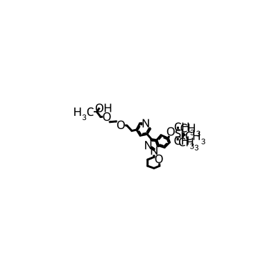 C[C@@H](O)COCCOCCc1cncc(-c2nn(C3CCCCO3)c3ccc(O[Si](C)(C)C(C)(C)C)cc23)c1